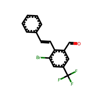 O=Cc1cc(C(F)(F)F)cc(Br)c1C=Cc1ccccc1